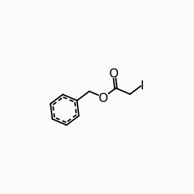 O=C(CI)OCc1ccccc1